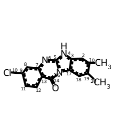 Cc1cc2[nH]c3nc4cc(Cl)ccc4c(=O)n3c2cc1C